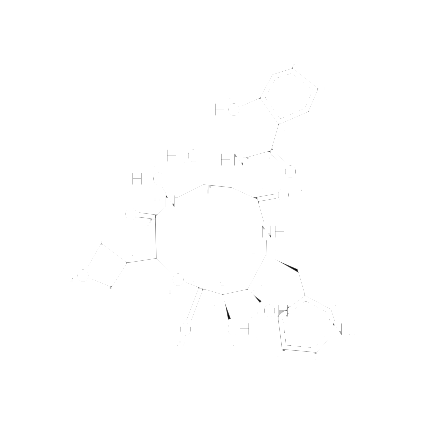 C[C@@H]1[C@H](NC(=O)c2ccccc2O)C(=O)N[C@@H](Cc2cccnc2)[C@@H](O)[C@@H](C)C(=O)OC(C2COC2)C(=O)N1C